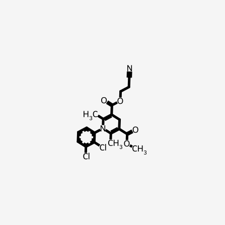 COC(=O)C1=C(C)N(c2cccc(Cl)c2Cl)C(C)=C(C(=O)OCCC#N)C1